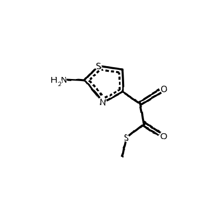 CSC(=O)C(=O)c1csc(N)n1